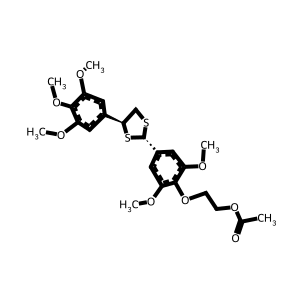 COc1cc([C@H]2CS[C@H](c3cc(OC)c(OCCOC(C)=O)c(OC)c3)S2)cc(OC)c1OC